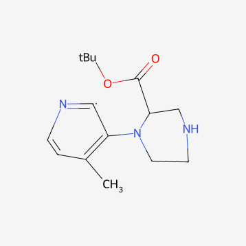 Cc1ccn[c]c1N1CCNCC1C(=O)OC(C)(C)C